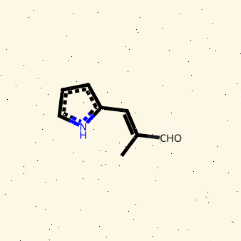 C/C(C=O)=C\c1ccc[nH]1